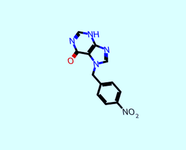 O=c1nc[nH]c2ncn(Cc3ccc([N+](=O)[O-])cc3)c12